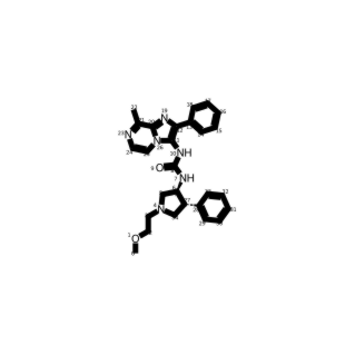 COCCN1C[C@@H](NC(=O)Nc2c(-c3ccccc3)nc3c(C)nccn23)[C@H](c2ccccc2)C1